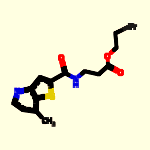 Cc1ccnc2cc(C(=O)NCCC(=O)OCCC(C)C)sc12